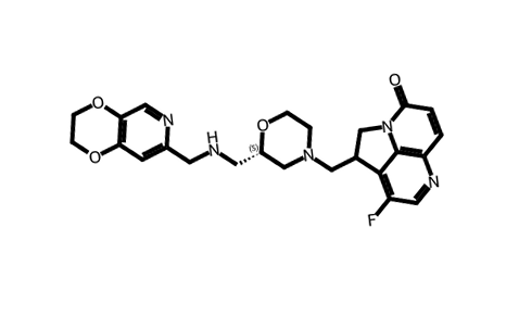 O=c1ccc2ncc(F)c3c2n1CC3CN1CCO[C@@H](CNCc2cc3c(cn2)OCCO3)C1